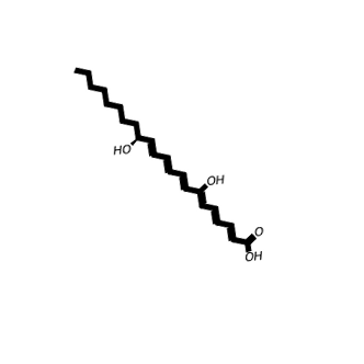 CCCCCCCC[C@H](O)C=CC=CC=CC(O)=CC=CC=CC(=O)O